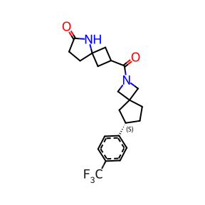 O=C1CCC2(CC(C(=O)N3CC4(CC[C@H](c5ccc(C(F)(F)F)cc5)C4)C3)C2)N1